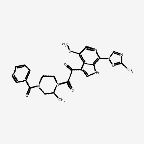 COc1cnc(-n2cnc(C)n2)c2[nH]cc(C(=O)C(=O)N3CCN(C(=O)c4ccccc4)CC3C)c12